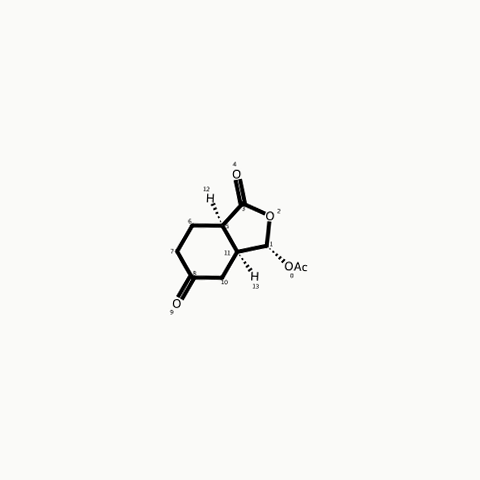 CC(=O)O[C@H]1OC(=O)[C@@H]2CCC(=O)C[C@H]12